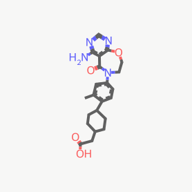 Cc1cc(N2CCOc3ncnc(N)c3C2=O)ccc1C1CCC(CC(=O)O)CC1